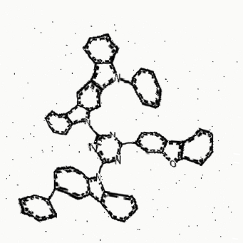 c1ccc(-c2ccc3c(c2)c2ccccc2n3-c2nc(-c3ccc4c(c3)oc3ccccc34)nc(-n3c4ccccc4c4cc5c6ccccc6n(-c6ccccc6)c5cc43)n2)cc1